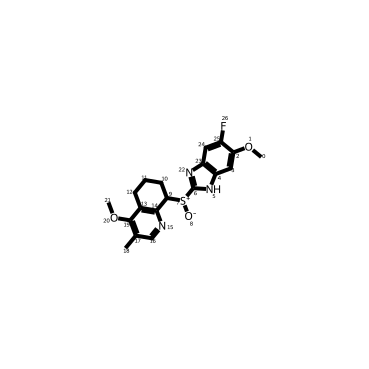 COc1cc2[nH]c([S+]([O-])C3CCCc4c3ncc(C)c4OC)nc2cc1F